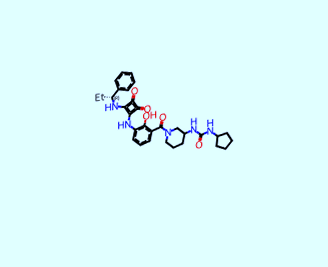 CC[C@@H](Nc1c(Nc2cccc(C(=O)N3CCCC(NC(=O)NC4CCCC4)C3)c2O)c(=O)c1=O)c1ccccc1